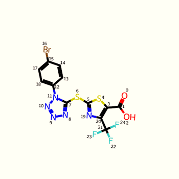 O=C(O)c1sc(Sc2nnnn2-c2ccc(Br)cc2)nc1C(F)(F)F